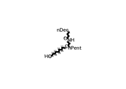 CCCCCCCCCCCCCC(=O)NCCC(CCCCC)CCCCCCCCCCO